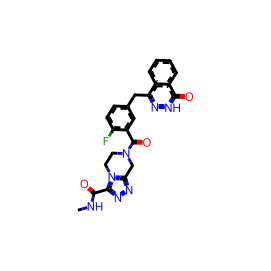 CNC(=O)c1nnc2n1CCN(C(=O)c1cc(Cc3n[nH]c(=O)c4ccccc34)ccc1F)C2